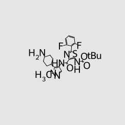 Cn1ncc(NC(=O)c2nc(-c3c(F)cccc3F)sc2NC(=O)OC(C)(C)C)c1C1CCC(N)CC1